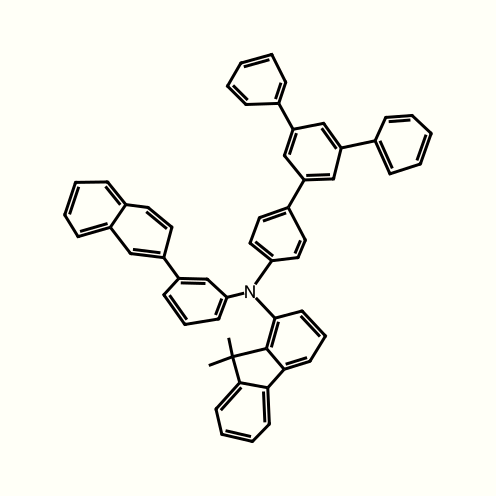 CC1(C)c2ccccc2-c2cccc(N(c3ccc(-c4cc(-c5ccccc5)cc(-c5ccccc5)c4)cc3)c3cccc(-c4ccc5ccccc5c4)c3)c21